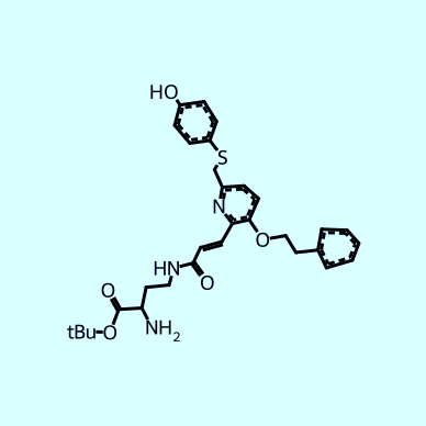 CC(C)(C)OC(=O)C(N)CCNC(=O)/C=C/c1nc(CSc2ccc(O)cc2)ccc1OCCc1ccccc1